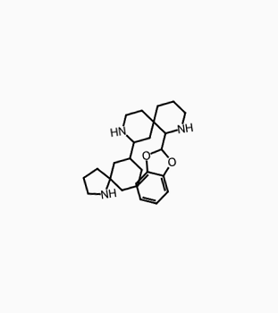 c1ccc2c(c1)OC(C1NCCCC13CCNC(C1CCCC4(CCCN4)C1)C3)O2